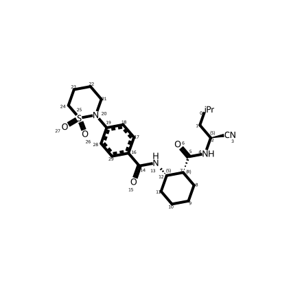 CC(C)C[C@@H](C#N)NC(=O)[C@@H]1CCCC[C@@H]1NC(=O)c1ccc(N2CCCCS2(=O)=O)cc1